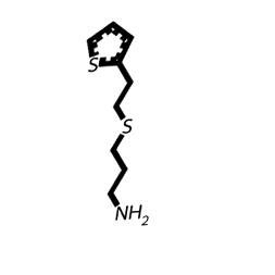 NCCCSCCc1cccs1